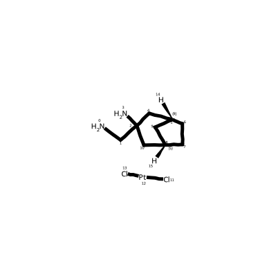 NCC1(N)C[C@@H]2CC[C@@H](C2)C1.[Cl][Pt][Cl]